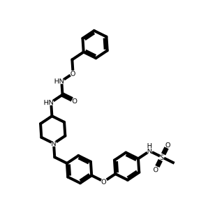 CS(=O)(=O)Nc1ccc(Oc2ccc(CN3CCC(NC(=O)NOCc4ccccc4)CC3)cc2)cc1